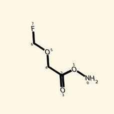 NOC(=O)COCF